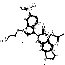 CC(=O)On1c(=O)c(-c2cn(CCCN)c3cc([N+](=O)[O-])ccc23)nc2cc3c(cc21)CCC3